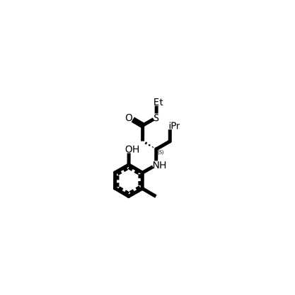 CCSC(=O)C[C@H](CC(C)C)Nc1c(C)cccc1O